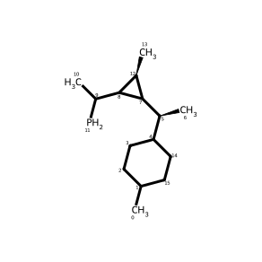 CC1CCC([C@H](C)C2C(C(C)P)[C@H]2C)CC1